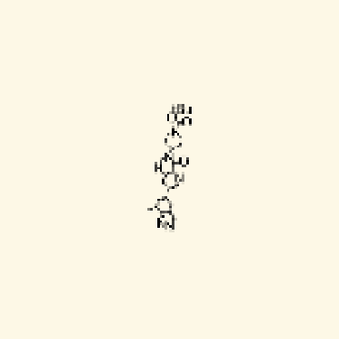 Cc1cc(-c2cnc3c(=O)n(C4CCN(C(=O)OC(C)(C)C)CC4)cnc3c2)cc2cn(C)nc12